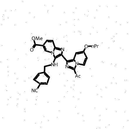 CCCOc1ccn2c(C(C)=O)nc(-c3nc4ccc(C(=O)OC)cn4c3NCc3ccc(C#N)cc3)c2c1